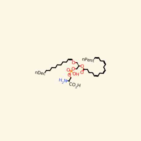 CCCCC/C=C\C/C=C\C/C=C\C/C=C\CCCC(=O)O[C@H](CO/C=C\CCCCCCCCCCCCCCCCCC)COP(=O)(O)OC[C@H](N)C(=O)O